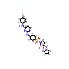 O=S(=O)(c1ccc(Nc2nccc(Nc3ccc(F)cc3)n2)cc1)N1CCC(O)(CN2CC=CC2)C1